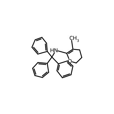 CC1=C(NC(c2ccccc2)(c2ccccc2)c2ccccc2)OCCC1